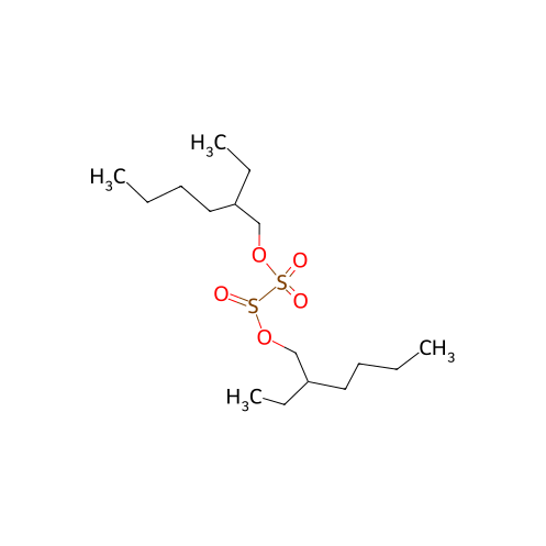 CCCCC(CC)COS(=O)S(=O)(=O)OCC(CC)CCCC